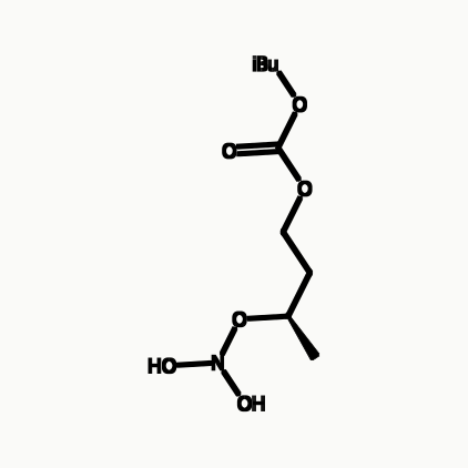 CCC(C)OC(=O)OCC[C@@H](C)ON(O)O